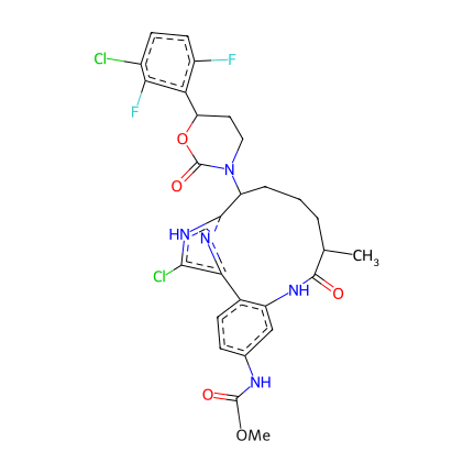 COC(=O)Nc1ccc2c(c1)NC(=O)C(C)CCCC(N1CCC(c3c(F)ccc(Cl)c3F)OC1=O)c1nc-2c(Cl)[nH]1